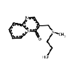 CN(CCO)Cc1cnc2ccccn2c1=O